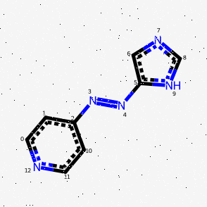 c1cc(N=Nc2cnc[nH]2)ccn1